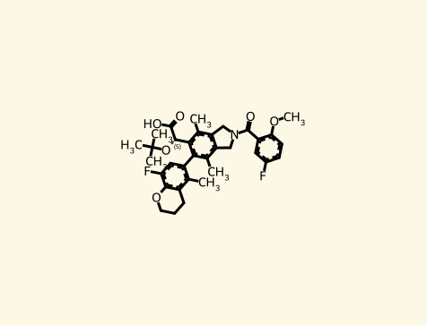 COc1ccc(F)cc1C(=O)N1Cc2c(C)c(-c3cc(F)c4c(c3C)CCCO4)c([C@H](OC(C)(C)C)C(=O)O)c(C)c2C1